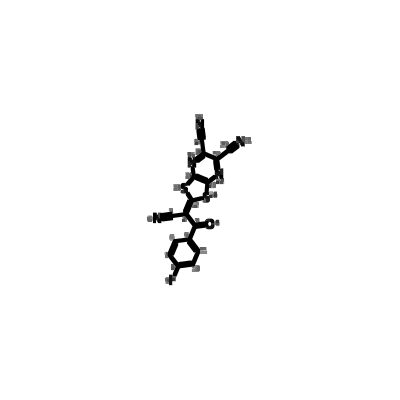 N#CC(C(=O)c1ccc(F)cc1)=C1Sc2nc(C#N)c(C#N)nc2S1